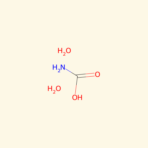 NC(=O)O.O.O